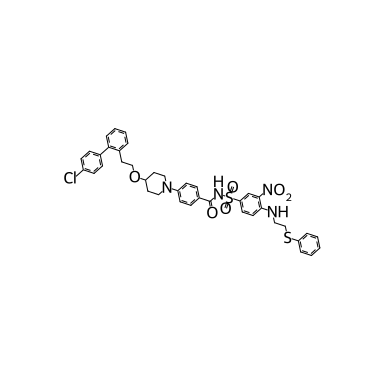 O=C(NS(=O)(=O)c1ccc(NCCSc2ccccc2)c([N+](=O)[O-])c1)c1ccc(N2CCC(OCCc3ccccc3-c3ccc(Cl)cc3)CC2)cc1